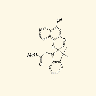 COC(=O)CN1c2ccccc2C(C)(C)C12C=Nc1cc(C#N)c3cnccc3c1O2